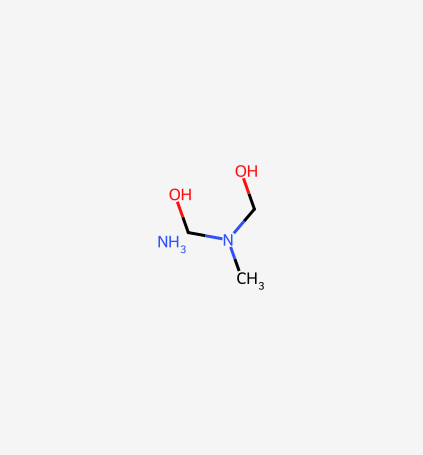 CN(CO)CO.N